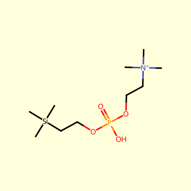 C[N+](C)(C)CCOP(=O)(O)OCC[Si](C)(C)C